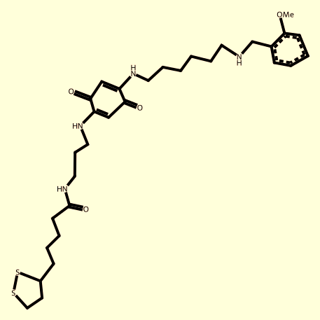 COc1ccccc1CNCCCCCCNC1=CC(=O)C(NCCCNC(=O)CCCCC2CCSS2)=CC1=O